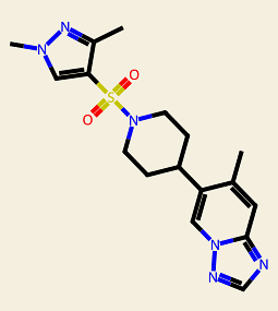 Cc1cc2ncnn2cc1C1CCN(S(=O)(=O)c2cn(C)nc2C)CC1